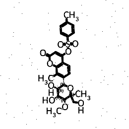 CO[C@@H]1[C@H](O)[C@@H](O)[C@H](c2ccc3c(OS(=O)(=O)c4ccc(C)cc4)cc(=O)oc3c2C)O[C@]1(C)CO